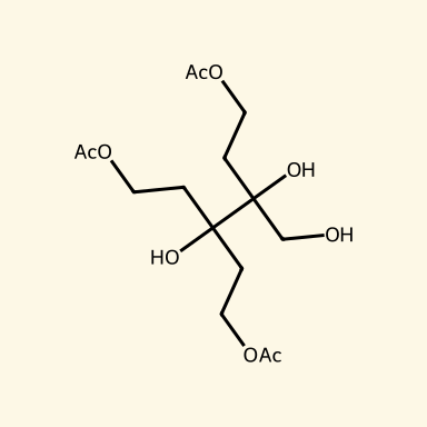 CC(=O)OCCC(O)(CO)C(O)(CCOC(C)=O)CCOC(C)=O